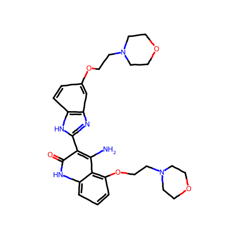 Nc1c(-c2nc3cc(OCCN4CCOCC4)ccc3[nH]2)c(=O)[nH]c2cccc(OCCN3CCOCC3)c12